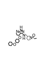 C=CC(=O)N1CCCC(CNc2n[nH]c3nccc(Oc4ccc(Oc5ccccc5)cc4)c23)C1